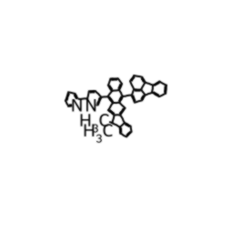 CC1(C)c2ccccc2-c2cc3c(-c4ccc5c6c(cccc46)-c4ccccc4-5)c4ccccc4c(-c4ccc(-c5ccccn5)nc4)c3cc21